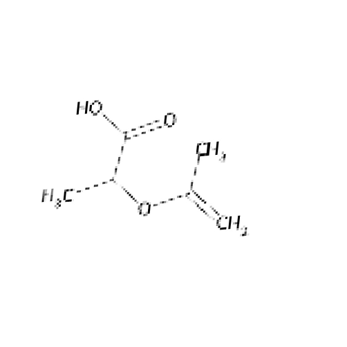 C=C(C)OC(C)C(=O)O